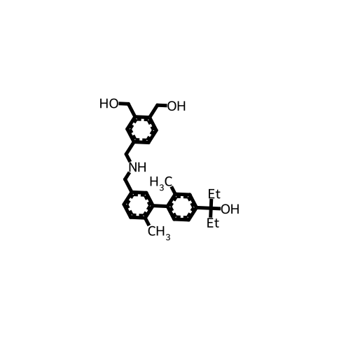 CCC(O)(CC)c1ccc(-c2cc(CNCc3ccc(CO)c(CO)c3)ccc2C)c(C)c1